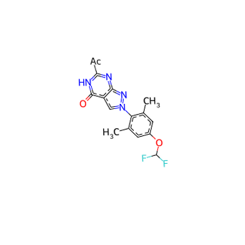 CC(=O)c1nc2nn(-c3c(C)cc(OC(F)F)cc3C)cc2c(=O)[nH]1